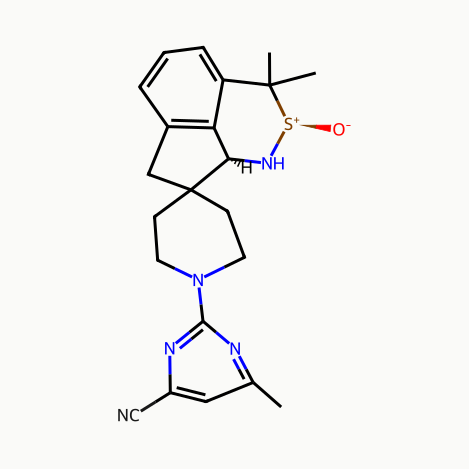 Cc1cc(C#N)nc(N2CCC3(CC2)Cc2cccc4c2[C@H]3N[S@+]([O-])C4(C)C)n1